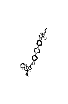 CC[C@H](C)n1ncn(-c2ccc(N3CCN(c4ccc(OCC5COC(Cn6nccn6)(C6CC6)O5)cc4)CC3)cc2)c1=O